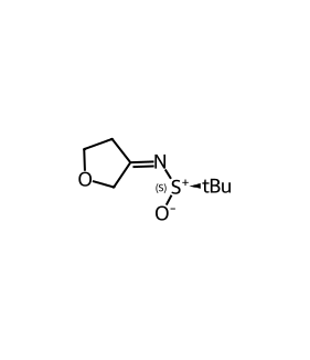 CC(C)(C)[S@@+]([O-])N=C1CCOC1